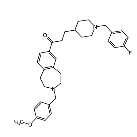 COc1ccc(CN2CCc3ccc(C(=O)CCC4CCN(Cc5ccc(F)cc5)CC4)cc3CC2)cc1